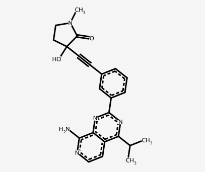 CC(C)c1nc(-c2cccc(C#CC3(O)CCN(C)C3=O)c2)nc2c(N)nccc12